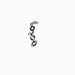 CCCCOc1ccc(CC(=O)N2CCN(c3cnccn3)CC2)cc1